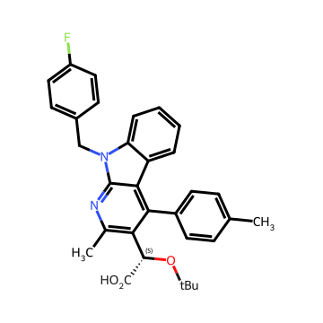 Cc1ccc(-c2c([C@H](OC(C)(C)C)C(=O)O)c(C)nc3c2c2ccccc2n3Cc2ccc(F)cc2)cc1